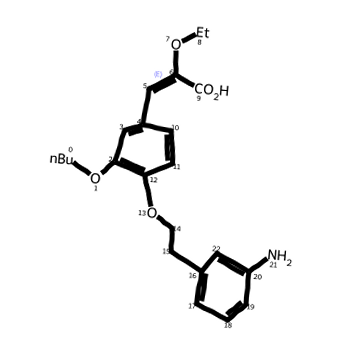 CCCCOc1cc(/C=C(/OCC)C(=O)O)ccc1OCCc1cccc(N)c1